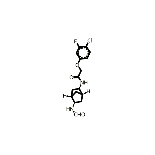 O=CN[C@@H]1C[C@@H]2C[C@H]1C[C@H]2NC(=O)COc1ccc(Cl)c(F)c1